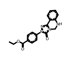 CCOC(=O)c1ccc(-n2nc3n(c2=O)CNc2ccccc2-3)cc1